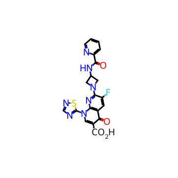 O=C(NC1CN(c2nc3c(cc2F)c(=O)c(C(=O)O)cn3-c2ncns2)C1)c1ccccn1